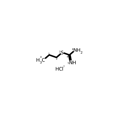 CCCSC(=N)N.Cl